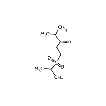 CC(C)C(=O)CCS(=O)(=O)C(C)C